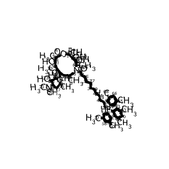 CC[C@H]1OC(=O)[C@H](C)[C@@H](O)[C@H](C)[C@@H](O[C@@H]2O[C@H](C)C[C@H](N(C)C)[C@H]2O)[C@](C)(O)C[C@@H](C)CN(C(=O)CCCCCCCCCCC[PH](c2cc(C)cc(C)c2)(c2cc(C)cc(C)c2)c2cc(C)cc(C)c2)[C@H](C)[C@@H](O)[C@]1(C)O